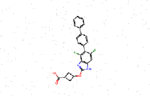 O=C(O)C1CC(Oc2nc3c(F)c(-c4ccc(-c5ccccc5)cc4)c(F)cc3[nH]2)C1